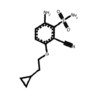 N#Cc1c(OCCC2CC2)ccc(N)c1S(N)(=O)=O